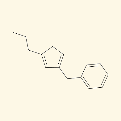 CCCC1=CC(Cc2ccccc2)=CC1